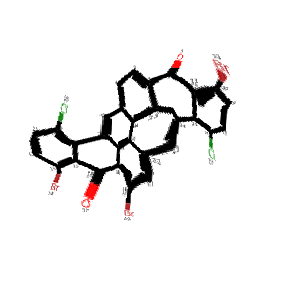 O=c1c2ccc3cc4c5c(Cl)ccc(Br)c5c(=O)c5c(Br)cc6cc(c7c(Cl)ccc(Br)c17)c2c3c6c54